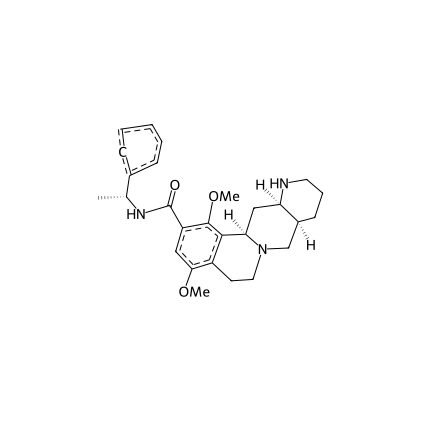 COc1cc(C(=O)N[C@H](C)c2ccccc2)c(OC)c2c1CCN1C[C@@H]3CCCN[C@@H]3C[C@H]21